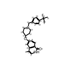 Cc1c[nH]c(=O)c2ccc(OC3CCN(Cc4ccc(C(C)(F)F)cc4)CC3)cc12